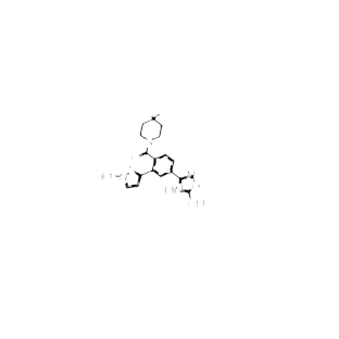 Cc1nnc(-c2ccc(C(=O)N3CCC(F)(F)CC3)c(-c3ccn(C(C)C)n3)c2)[nH]1